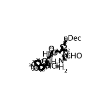 CCCCCCCCCCCCSSC(CCOC(=O)NCCNS(=O)(=O)c1cccc2c(N(C)C)cccc12)=C(C)N(C=O)CCN.Cl